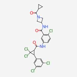 O=C(NC1CN(C(=O)C2CC2)C1)c1cc(NC(=O)C2C(c3cc(Cl)cc(Cl)c3)C2(Cl)Cl)ccc1Cl